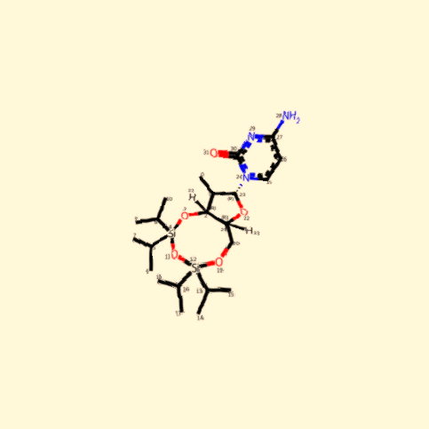 CC1[C@H]2O[Si](C(C)C)(C(C)C)O[Si](C(C)C)(C(C)C)OC[C@H]2O[C@H]1n1ccc(N)nc1=O